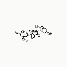 CCC1CC2CC(C[C@@H](O)C2)[C@@H]1NC(=O)c1cnn(/C=C/C(C)(C)CC(C)C(C)=O)c1OCC(C)C